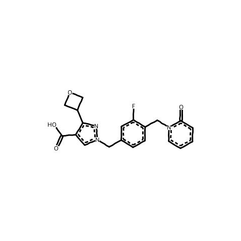 O=C(O)c1cn(Cc2ccc(Cn3ccccc3=O)c(F)c2)nc1C1COC1